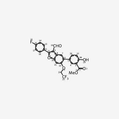 COC(=O)c1cc(-c2cc3c(C=O)c(-c4ccc(F)cc4)oc3cc2OCC(F)(F)F)ccc1O